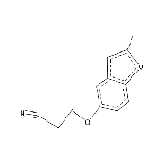 Cc1cc2cc(OCCC#N)ccc2o1